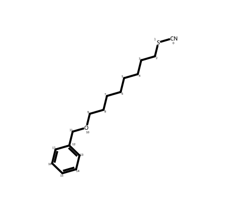 N#CSCCCCCCCCOCc1ccccc1